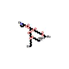 CC/C=C\CCCCOC(CCC(=O)OCC(COC(=O)CCCCCC(=O)OCC(CCCC)CCCCCC)COC(=O)OCC1CCCN(CC)C1)OCCCC/C=C\CC